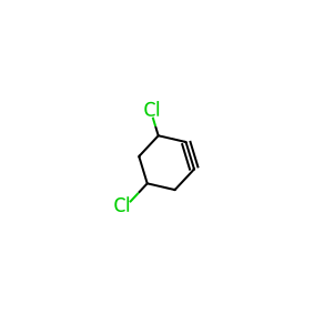 ClC1C#CCC(Cl)C1